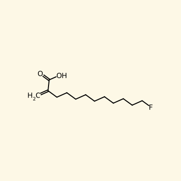 C=C(CCCCCCCCCCF)C(=O)O